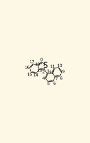 [c]1sc(-c2cccc3ccccc23)c2ccccc12